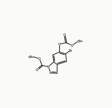 CC(C)(C)OC(=O)Oc1cc2c(cnn2C(=O)OC(C)(C)C)cc1Br